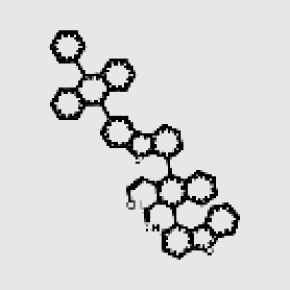 C=Cc1c(/C=C\C)c(-c2cccc3c2sc2ccc(-c4c5ccccc5c(-c5ccccc5)c5ccccc45)cc23)c2ccccc2c1-c1cccc2oc3ccccc3c12